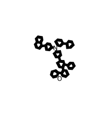 c1ccc(-c2cccc(N(c3ccc(-c4ccc(-c5cccc6oc7ccccc7c56)c(-c5ccccc5)c4)cc3)c3ccc(-c4cccc5ccccc45)cc3)c2)cc1